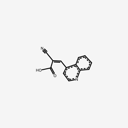 N#CC(=Cc1ccnc2ccccc12)C(=O)O